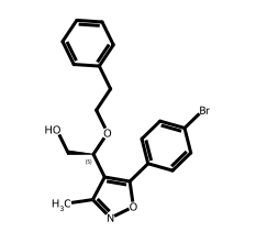 Cc1noc(-c2ccc(Br)cc2)c1[C@@H](CO)OCCc1ccccc1